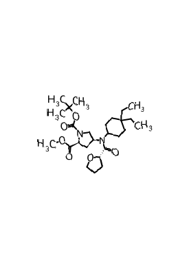 CCC1(CC)CCC(N(C(=O)[C@@H]2CCCO2)[C@H]2C[C@@H](C(=O)OC)N(C(=O)OC(C)(C)C)C2)CC1